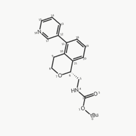 CC(C)(C)OC(=O)NC[C@@H]1OCCc2c(-c3cccnc3)cccc21